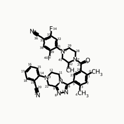 Cc1cc(C)c(-c2nnc3n2CCN(c2ccccc2C#N)C3)cc1C(=O)N1CCN(c2cc(F)c(C#N)cc2F)CC1C